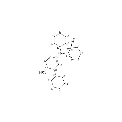 SC1C=CC(N2C3=CCCC[C@H]3C3=CCCCC32)=CC1C1CCCCC1